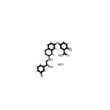 Cl.O=C(O)c1cc(Oc2ccc3c(c2)C[C@@H](NC[C@@H](O)c2cccc(Cl)c2)CC3)ccc1Cl